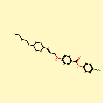 CCCCCC1CCC(C=CCOc2ccc(C(=O)Oc3ccc(Cl)cc3)cc2)CC1